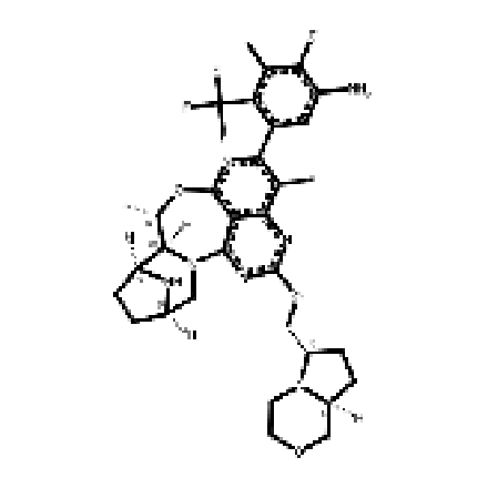 Cc1c(Cl)c(N)cc(-c2nc3c4c(nc(OC[C@@H]5CC[C@H]6COCCN65)nc4c2F)N2C[C@H]4CC[C@H](N4)[C@H]2[C@H](C)O3)c1C(F)(F)F